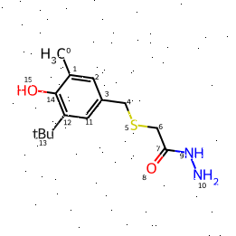 Cc1cc(CSCC(=O)NN)cc(C(C)(C)C)c1O